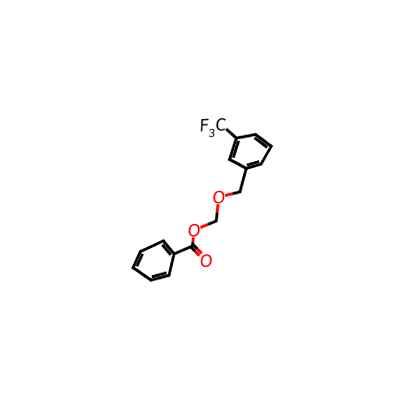 O=C(OCOCc1cccc(C(F)(F)F)c1)c1ccccc1